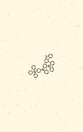 c1ccc([Si](c2ccccc2)(c2ccccc2)c2ccc(-n3c4ccccc4c4c(-n5c6ccccc6c6cccc(-c7cccc8sc9ccccc9c78)c65)cccc43)cc2)cc1